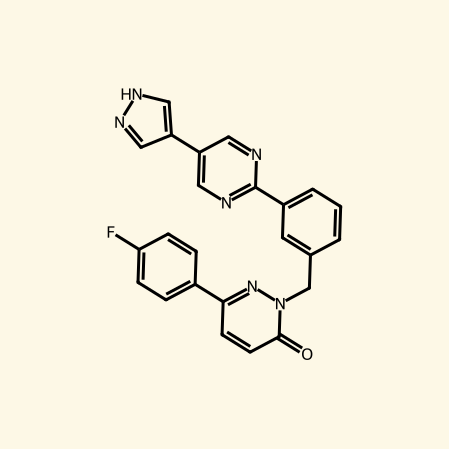 O=c1ccc(-c2ccc(F)cc2)nn1Cc1cccc(-c2ncc(-c3cn[nH]c3)cn2)c1